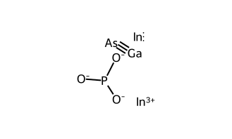 [Ga]#[As].[In+3].[In].[O-]P([O-])[O-]